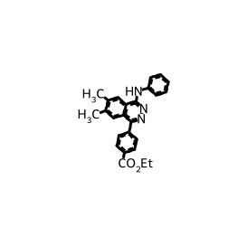 CCOC(=O)c1ccc(-c2nnc(Nc3ccccc3)c3cc(C)c(C)cc23)cc1